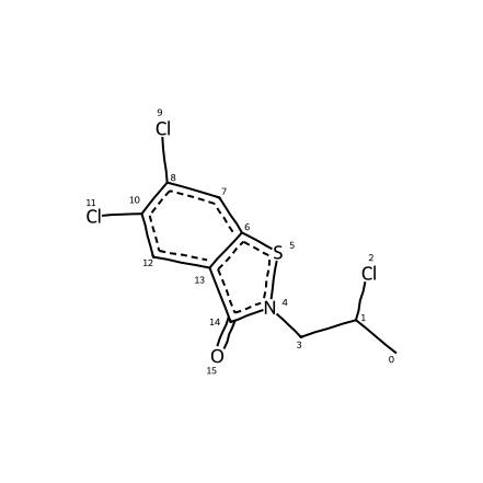 CC(Cl)Cn1sc2cc(Cl)c(Cl)cc2c1=O